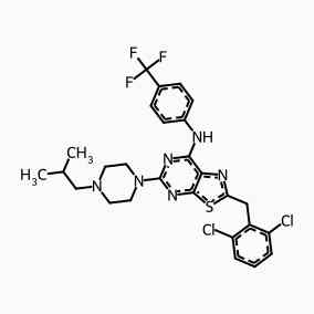 CC(C)CN1CCN(c2nc(Nc3ccc(C(F)(F)F)cc3)c3nc(Cc4c(Cl)cccc4Cl)sc3n2)CC1